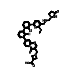 COc1nc(-c2cccc(-c3cccc(-c4ccn5c(=O)c(CN6CC(C(=O)O)C6)cnc5c4)c3Cl)c2Cl)ccc1CNCN1CCC(=O)N1